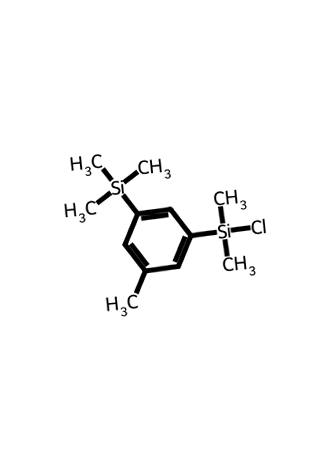 Cc1cc([Si](C)(C)C)cc([Si](C)(C)Cl)c1